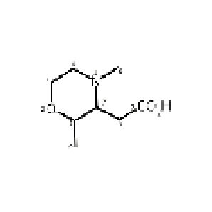 CC1OCCN(C)C1CC(=O)O